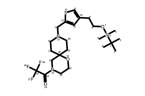 CC(C)(C)[Si](C)(C)OCCc1csc(CN2CCC3(CC2)CN(C(=O)C(F)(F)F)CCO3)c1